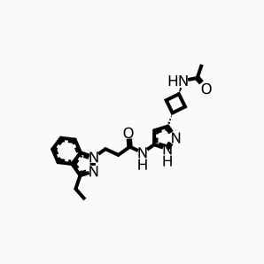 CCc1nn(CCC(=O)Nc2cc([C@H]3C[C@@H](NC(C)=O)C3)n[nH]2)c2ccccc12